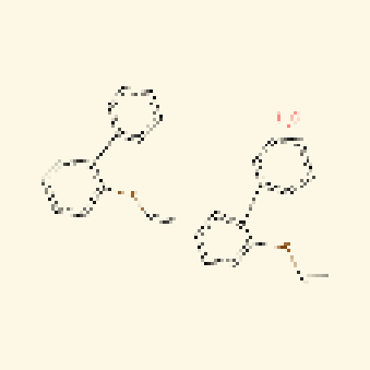 C=CSc1ccccc1-c1ccccc1.C=CSc1ccccc1-c1ccccc1.O